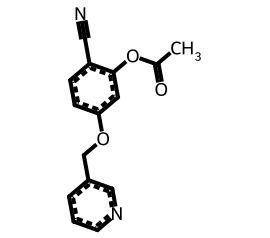 CC(=O)Oc1cc(OCc2cccnc2)ccc1C#N